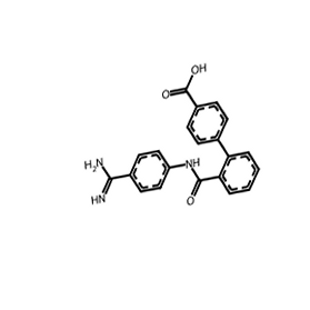 N=C(N)c1ccc(NC(=O)c2ccccc2-c2ccc(C(=O)O)cc2)cc1